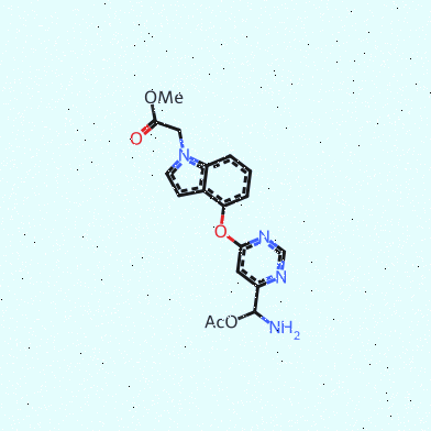 COC(=O)Cn1ccc2c(Oc3cc(C(N)OC(C)=O)ncn3)cccc21